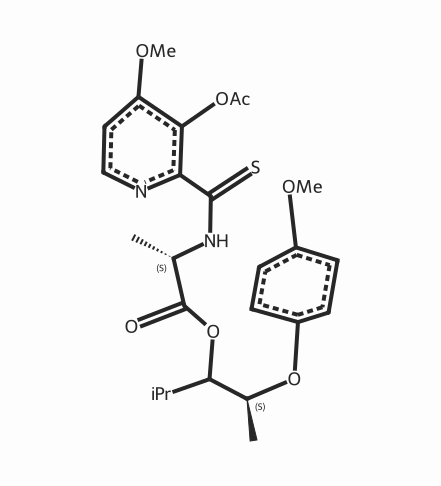 COc1ccc(O[C@@H](C)C(OC(=O)[C@H](C)NC(=S)c2nccc(OC)c2OC(C)=O)C(C)C)cc1